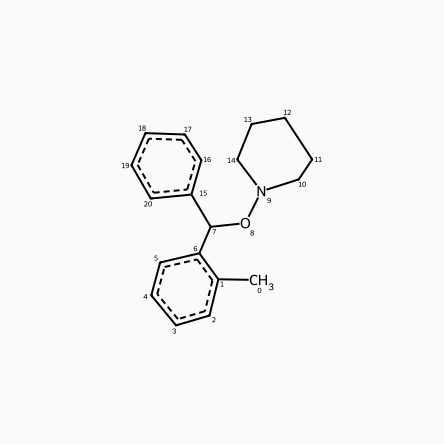 Cc1ccccc1C(ON1CCCCC1)c1ccccc1